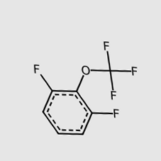 Fc1cccc(F)c1OC(F)(F)F